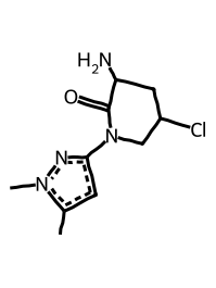 Cc1cc(N2CC(Cl)CC(N)C2=O)nn1C